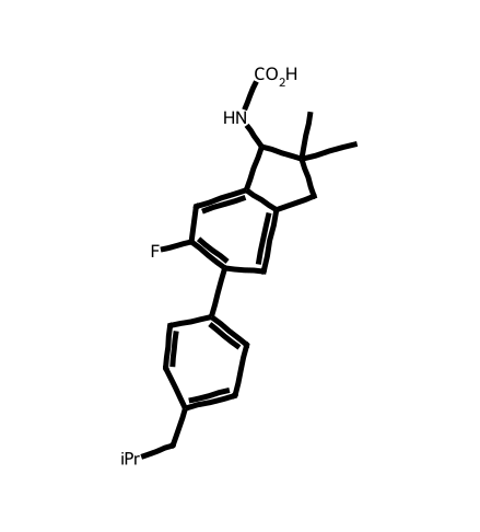 CC(C)Cc1ccc(-c2cc3c(cc2F)C(NC(=O)O)C(C)(C)C3)cc1